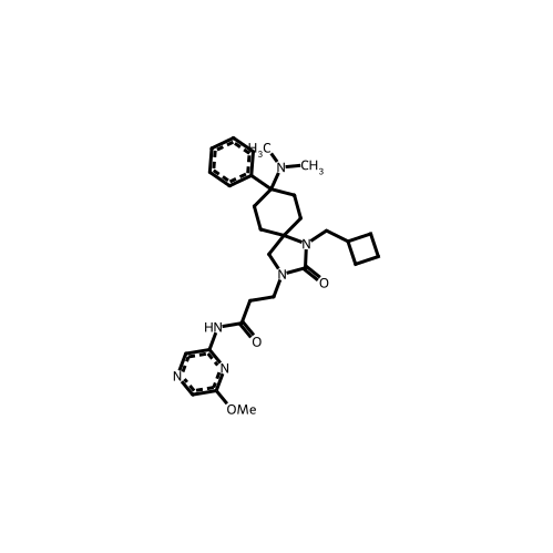 COc1cncc(NC(=O)CCN2CC3(CCC(c4ccccc4)(N(C)C)CC3)N(CC3CCC3)C2=O)n1